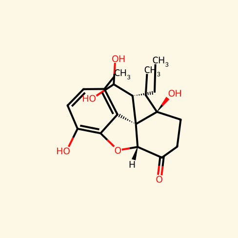 CC[C@@H](C(O)O)[C@]12c3c(C)ccc(O)c3O[C@H]1C(=O)CC[C@@]2(O)CC